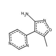 Cc1onc(N)c1-c1ccncn1